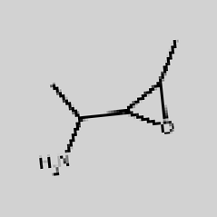 CC(N)C1OC1C